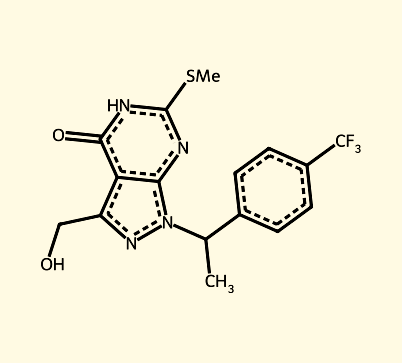 CSc1nc2c(c(CO)nn2C(C)c2ccc(C(F)(F)F)cc2)c(=O)[nH]1